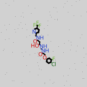 O=C(COc1ccc(Cl)c(F)c1)NCNC(O)CC(=O)NCc1ccc(C(F)(F)F)cn1